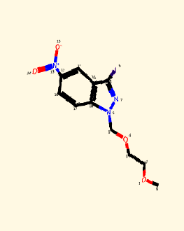 COCCOCn1nc(I)c2cc([N+](=O)[O-])ccc21